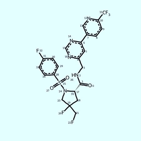 O=C(NCc1cc(-c2ccc(C(F)(F)F)nc2)ncn1)[C@@H]1CC(F)(CF)CN1S(=O)(=O)c1ccc(F)cc1